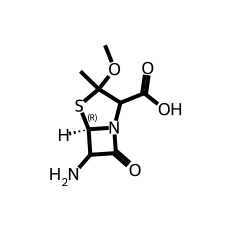 COC1(C)S[C@@H]2C(N)C(=O)N2C1C(=O)O